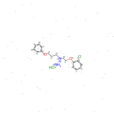 Cl.Clc1ccccc1OCCNCCCOc1ccccc1.N